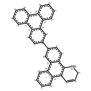 C1=Cc2c(c3ccc(-c4ccc5c6ccccc6c6ccccc6c5c4)cc3c3ccccc23)NC1